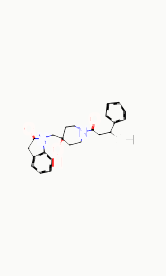 CC(CC(=O)N1CCC(O)(CN2C(=O)Cc3ccccc32)CC1)c1ccccc1